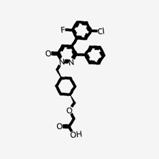 O=C(O)COC[C@H]1CC[C@@H](Cn2nc(-c3ccccc3)c(-c3cc(Cl)ccc3F)cc2=O)CC1